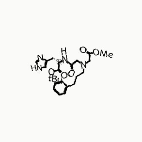 COC(=O)CN(CCCc1ccccc1)CC(=O)N[C@@H](Cc1c[nH]cn1)C(=O)OC(C)(C)C